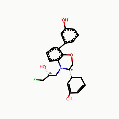 OC1=CC([C@H]2COc3c(-c4cccc(O)c4)cccc3N2C[C@@H](O)CF)CC=C1